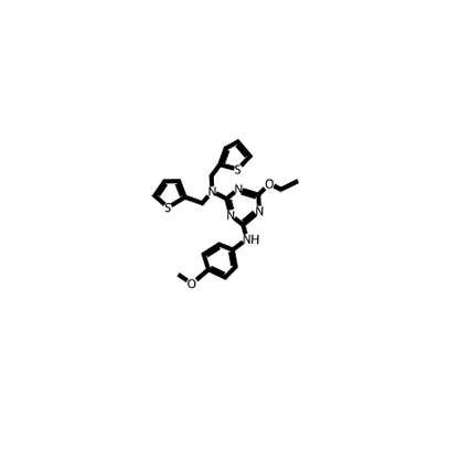 CCOc1nc(Nc2ccc(OC)cc2)nc(N(Cc2cccs2)Cc2cccs2)n1